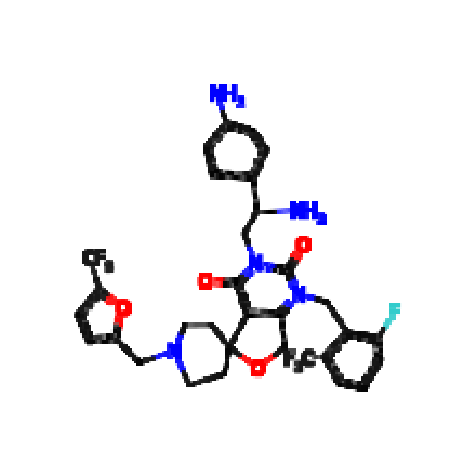 Nc1ccc(C(N)Cn2c(=O)c3c(n(Cc4c(F)cccc4C(F)(F)F)c2=O)COC32CCN(Cc3ccc(C(F)(F)F)o3)CC2)cc1